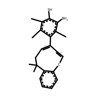 Bc1c(C)c(C2=C/CC(C)(C)c3ccccc3C/C=C\2)c(C)c(C)c1S